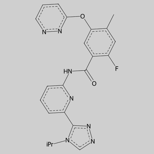 Cc1cc(F)c(C(=O)Nc2cccc(-c3nncn3C(C)C)n2)cc1Oc1cccnn1